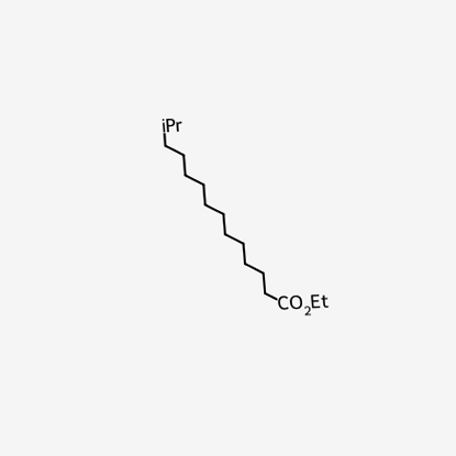 CCOC(=O)CCCCCCCCCCCC(C)C